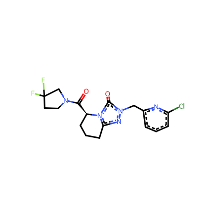 O=C([C@@H]1CCCc2nn(Cc3cccc(Cl)n3)c(=O)n21)N1CCC(F)(F)C1